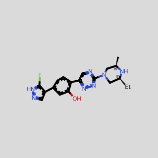 CC[C@H]1CN(c2ncc(-c3ccc(-c4cn[nH]c4F)cc3O)nn2)C[C@@H](C)N1